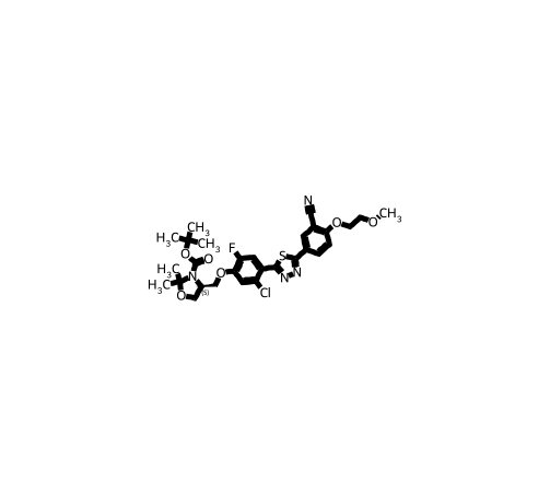 COCCOc1ccc(-c2nnc(-c3cc(F)c(OC[C@H]4COC(C)(C)N4C(=O)OC(C)(C)C)cc3Cl)s2)cc1C#N